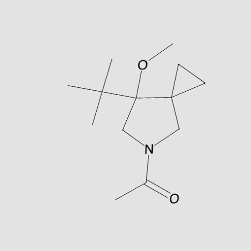 COC1(C(C)(C)C)CN(C(C)=O)CC12CC2